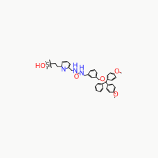 COc1ccc(C(OCc2cccc(CNC(=O)NCc3cccc(CCC(C)(C)[Si](C)(C)O)n3)c2)(c2ccccc2)c2ccc(OC)cc2)cc1